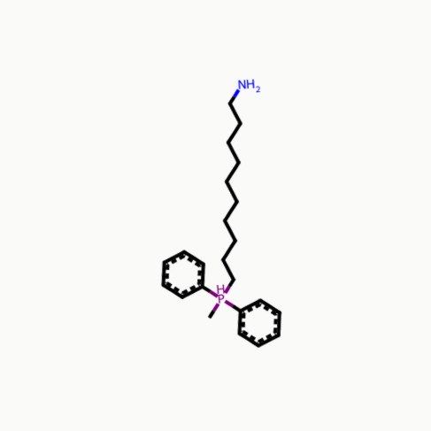 C[PH](CCCCCCCCCCN)(c1ccccc1)c1ccccc1